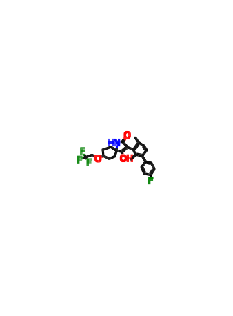 Cc1ccc(-c2ccc(F)cc2)c(C)c1C1=C(O)C2(CCC(OCC(F)(F)F)CC2)NC1=O